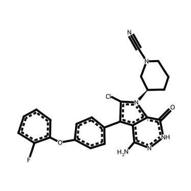 N#CN1CCC[C@@H](n2c(Cl)c(-c3ccc(Oc4ccccc4F)cc3)c3c(N)n[nH]c(=O)c32)C1